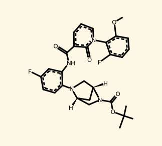 COc1cccc(F)c1-n1cccc(C(=O)Nc2cc(F)ccc2N2C[C@H]3C[C@@H]2CN3C(=O)OC(C)(C)C)c1=O